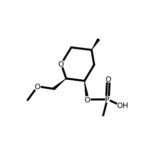 COC[C@H]1OC[C@@H](C)C[C@H]1OP(C)(=O)O